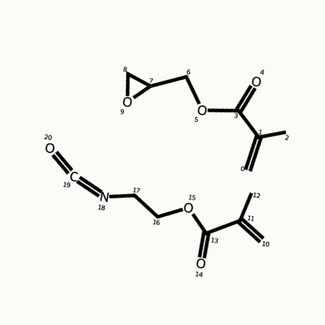 C=C(C)C(=O)OCC1CO1.C=C(C)C(=O)OCCN=C=O